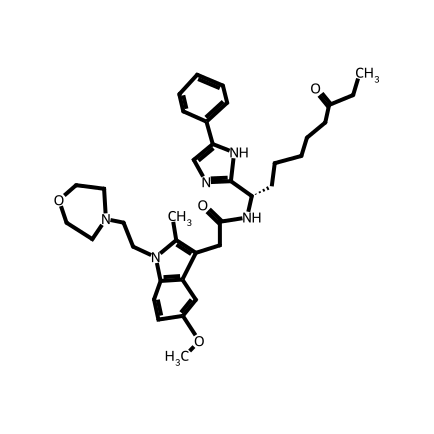 CCC(=O)CCCCC[C@H](NC(=O)Cc1c(C)n(CCN2CCOCC2)c2ccc(OC)cc12)c1ncc(-c2ccccc2)[nH]1